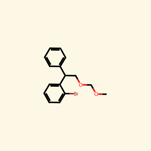 COCOCC(c1ccccc1)c1ccccc1Br